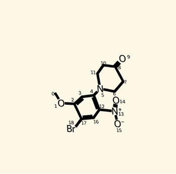 COc1cc(N2CCC(=O)CC2)c([N+](=O)[O-])cc1Br